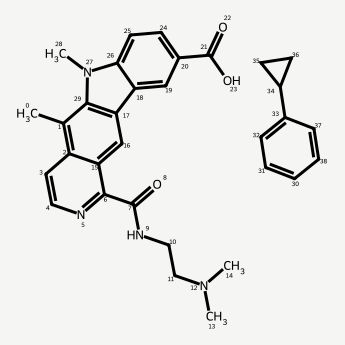 Cc1c2ccnc(C(=O)NCCN(C)C)c2cc2c3cc(C(=O)O)ccc3n(C)c12.c1ccc(C2CC2)cc1